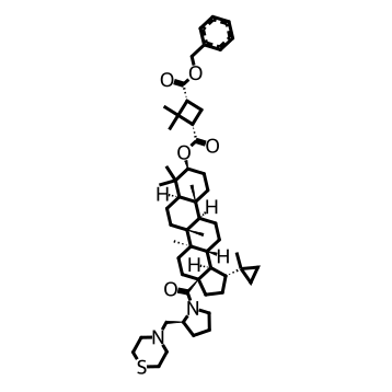 CC1([C@@H]2CC[C@]3(C(=O)N4CCC[C@H]4CN4CCSCC4)CC[C@]4(C)[C@H](CC[C@@H]5[C@@]6(C)CC[C@H](OC(=O)[C@H]7C[C@@H](C(=O)OCc8ccccc8)C7(C)C)C(C)(C)[C@@H]6CC[C@]54C)[C@@H]23)CC1